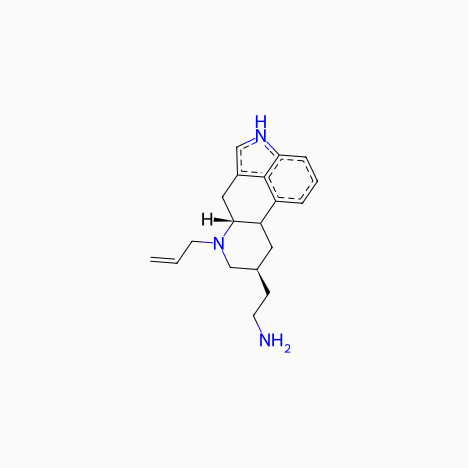 C=CCN1C[C@H](CCN)CC2c3cccc4[nH]cc(c34)C[C@H]21